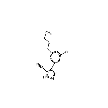 CCOCc1cc(Br)cc(-c2nn[nH]c2C#N)c1